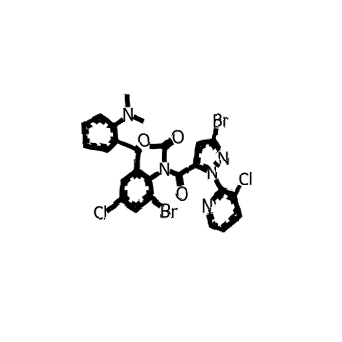 CC(=O)N(C(=O)c1cc(Br)nn1-c1ncccc1Cl)c1c(Br)cc(Cl)cc1C(=O)c1ccccc1N(C)C